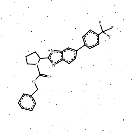 O=C(OCc1ccccc1)N1CCCC1c1nc2ccc(-c3ccc(C(F)(F)F)cc3)cc2[nH]1